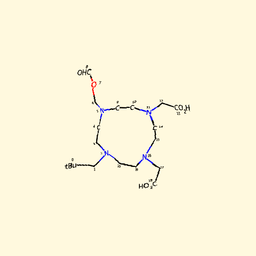 CC(C)(C)CN1CCN(COC=O)CCN(CC(=O)O)CCN(CC(=O)O)CC1